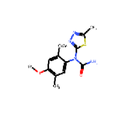 CCOc1cc(OC)c(N(C(N)=O)c2nnc(C(F)(F)F)s2)cc1C